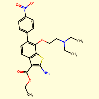 CCOC(=O)c1c(N)sc2c(OCCN(CC)CC)c(-c3ccc([N+](=O)[O-])cc3)ccc12